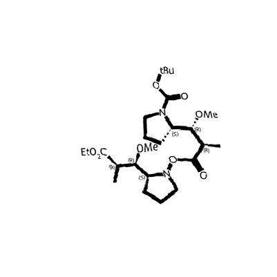 CCOC(=O)[C@H](C)[C@@H](OC)[C@@H]1CCCN1OC(=O)[C@H](C)[C@@H](OC)[C@@H]1CCCN1C(=O)OC(C)(C)C